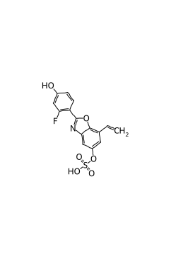 C=Cc1cc(OS(=O)(=O)O)cc2nc(-c3ccc(O)cc3F)oc12